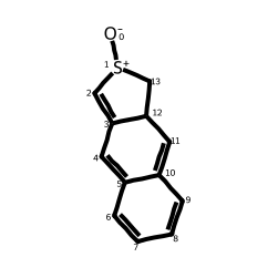 [O-][S+]1C=C2C=c3ccccc3=CC2C1